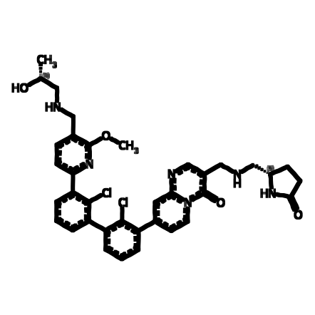 COc1nc(-c2cccc(-c3cccc(-c4ccn5c(=O)c(CNC[C@@H]6CCC(=O)N6)cnc5c4)c3Cl)c2Cl)ccc1CNC[C@@H](C)O